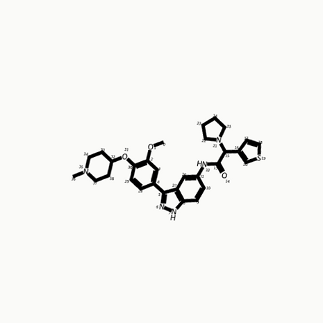 COc1cc(-c2n[nH]c3ccc(NC(=O)C(c4ccsc4)N4CCCC4)cc23)ccc1OC1CCN(C)CC1